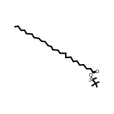 CCCCCCCCCCCCCCCCCCCCCCCCC(=O)O[Si](C)(C)C(C)(C)C